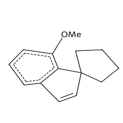 COc1cccc2c1C1(C=C2)CCCC1